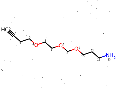 C#CCCOCCOCOCCCN